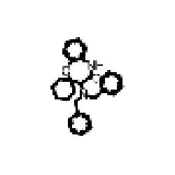 O=C1Nc2ccccc2OC2(CCCCC2)C1N(Cc1ccccc1)Cc1ccccc1